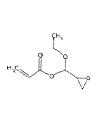 C=CC(=O)OC(OCC)C1CO1